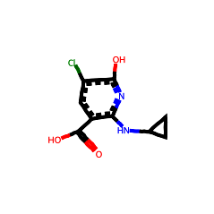 O=C(O)c1cc(Cl)c(O)nc1NC1CC1